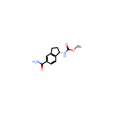 CC(C)(C)OC(=O)N[C@H]1CCc2cc(C(N)=O)ccc21